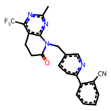 Cc1nc2c(c(C(F)(F)F)n1)CCC(=O)N2Cc1ccc(-c2ccccc2C#N)nc1